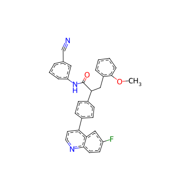 COc1ccccc1CC(C(=O)Nc1cccc(C#N)c1)c1ccc(-c2ccnc3ccc(F)cc23)cc1